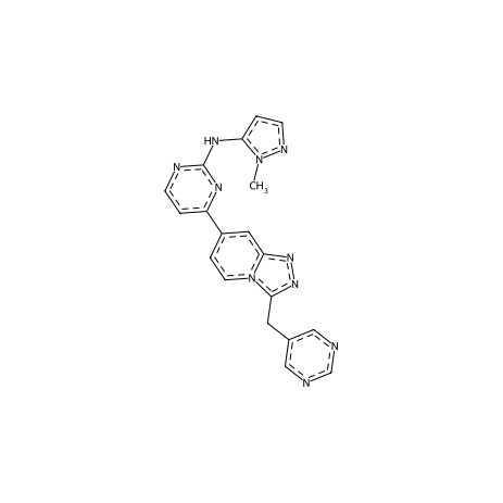 Cn1nccc1Nc1nccc(-c2ccn3c(Cc4cncnc4)nnc3c2)n1